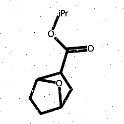 CC(C)OC(=O)C1CC2CCC1O2